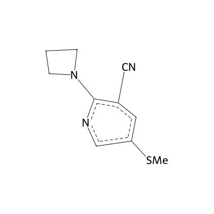 CSc1cnc(N2CCC2)c(C#N)c1